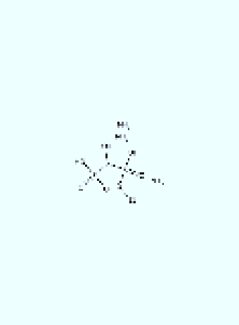 CCOP(=O)(O)C(O)P(=O)(O)O.N.N.N